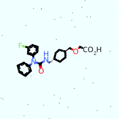 O=C(O)COC[C@H]1CC[C@H](CNC(=O)N(c2ccccc2)c2cccc(F)c2)CC1